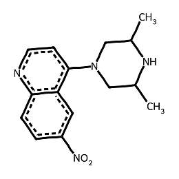 CC1CN(c2ccnc3ccc([N+](=O)[O-])cc23)CC(C)N1